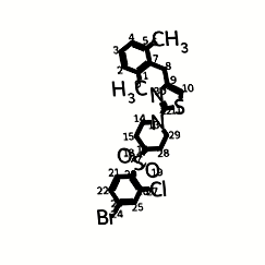 Cc1cccc(C)c1Cc1csc(N2CCC(S(=O)(=O)c3ccc(Br)cc3Cl)CC2)n1